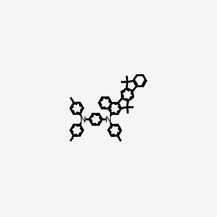 Cc1ccc(N(c2ccc(C)cc2)c2ccc(N(c3ccc(C)cc3)c3cc4c(c5ccccc35)-c3cc5c(cc3C4(C)C)C3=C(CCC=C3)C5(C)C)cc2)cc1